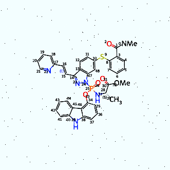 CNC(=O)c1ccccc1Sc1ccc2c(/C=C/c3ccccn3)nn(P(=O)(N[C@@H](C)C(=O)OC)Oc3cccc4[nH]c5ccccc5c34)c2c1